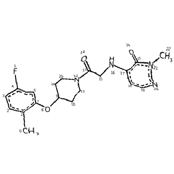 Cc1ccc(F)cc1OC1CCN(C(=O)CNc2ccnn(C)c2=O)CC1